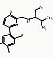 CC(C)[C@H](CO)NCc1nc(-c2cc(F)c(F)cc2F)ccc1F